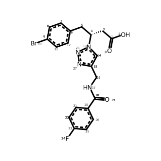 O=C(O)C[C@@H](Cc1ccc(Br)cc1)n1cc(CNC(=O)c2ccc(F)cc2)nn1